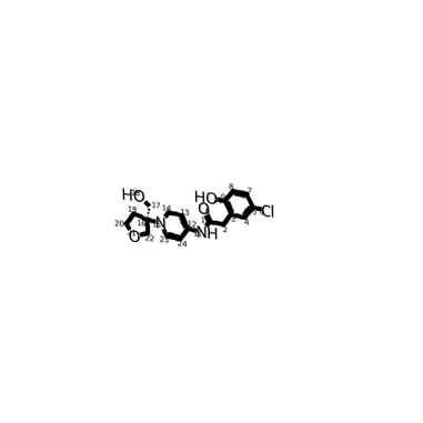 O=C(Cc1cc(Cl)ccc1O)NC1=CCN([C@]2(CO)CCOC2)C=C1